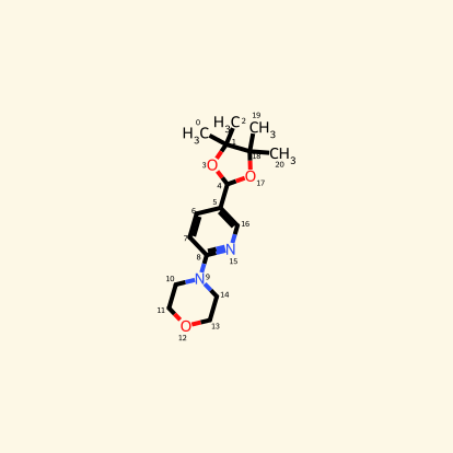 CC1(C)OC(c2ccc(N3CCOCC3)nc2)OC1(C)C